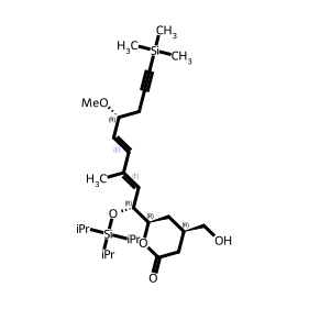 CO[C@@H](/C=C/C(C)=C/[C@@H](O[Si](C(C)C)(C(C)C)C(C)C)[C@H]1C[C@@H](CO)CC(=O)O1)CC#C[Si](C)(C)C